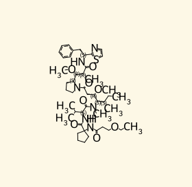 CCOCCC(=O)NC1(C(=O)N[C@H](C(=O)N(C)[C@@H]([C@@H](C)CC)[C@@H](CC(=O)N2CCC[C@H]2[C@H](OC)[C@@H](C)C(=O)N[C@@H](Cc2ccccc2)c2nccs2)OC)C(C)C)CCCC1